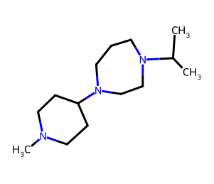 CC(C)N1CCCN(C2CCN(C)CC2)CC1